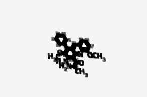 COc1c(N)c(C(=O)C(C)N)c2nc3c(OC)cccc3cc2c1-c1ccccc1